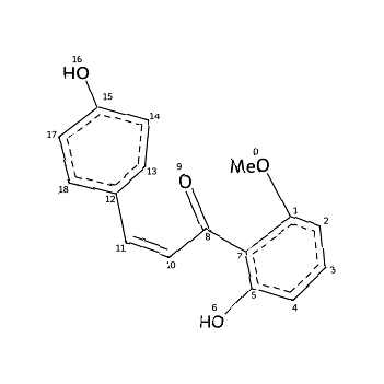 COc1cccc(O)c1C(=O)/C=C\c1ccc(O)cc1